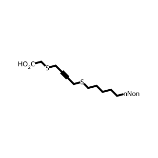 CCCCCCCCCCCCCCSCC#CCSCC(=O)O